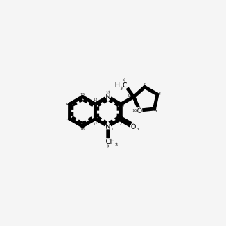 Cn1c(=O)c(C2(C)CCCO2)nc2ccccc21